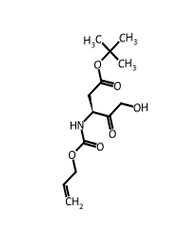 C=CCOC(=O)N[C@@H](CC(=O)OC(C)(C)C)C(=O)CO